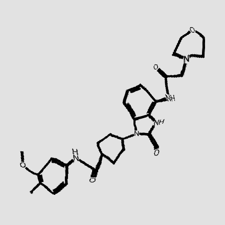 COc1cc(NC(=O)C2CCC(n3c(=O)[nH]c4c(NC(=O)CN5CCOCC5)cccc43)CC2)ccc1C